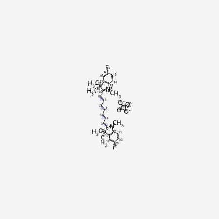 CN1\C(=C/C=C/C=C/C=C/C2=[N+](C)c3ccc(F)cc3C2(C)C)C(C)(C)c2cc(F)ccc21.[O-][Cl+3]([O-])([O-])[O-]